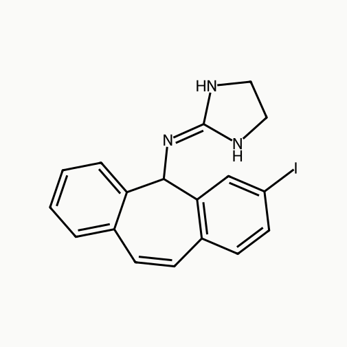 Ic1ccc2c(c1)C(N=C1NCCN1)c1ccccc1C=C2